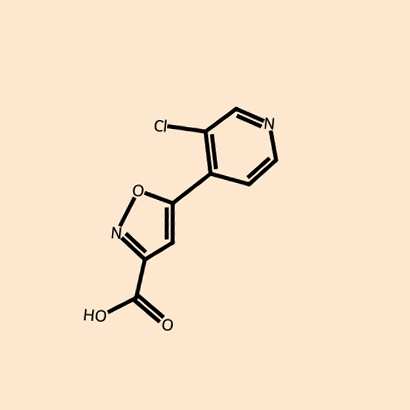 O=C(O)c1cc(-c2ccncc2Cl)on1